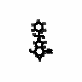 CCC1C2CC2C(C)C2CN(C(C)(C)C3CCCCC3)CC21